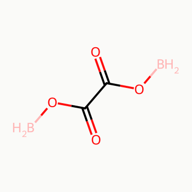 BOC(=O)C(=O)OB